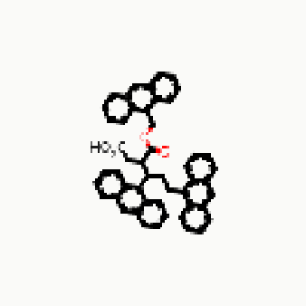 O=C(O)CC(C(=O)OCc1c2ccccc2cc2ccccc12)C(CCc1c2ccccc2cc2ccccc12)c1c2ccccc2cc2ccccc12